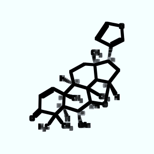 CC(=O)O[C@H]1[C@@H]2O[C@H]3C[C@@H](c4ccoc4)[C@]4(C)CC[C@@H](C2(C)C34)[C@@]2(C)C=CC(=O)C(C)(C)[C@H]12